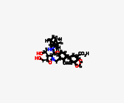 COc1c(CN2O[C@@H](CO)[C@@H]([C@H](C)O)[C@H]2C(=O)N[C@H]2C[C@H]3C[C@@H]([C@@H]2C)C3(C)C)cccc1-c1cc2c(c(C(=O)O)c1)OCO2